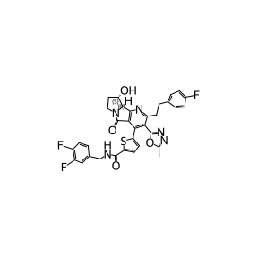 Cc1nnc(-c2c(CCc3ccc(F)cc3)nc3c(c2-c2ccc(C(=O)NCc4ccc(F)c(F)c4)s2)C(=O)N2CC[C@H](O)[C@@H]32)o1